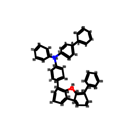 c1ccc(-c2ccc(N(c3ccccc3)c3ccc(-c4cccc5c4oc4c(-c6ccccc6)cccc45)cc3)cc2)cc1